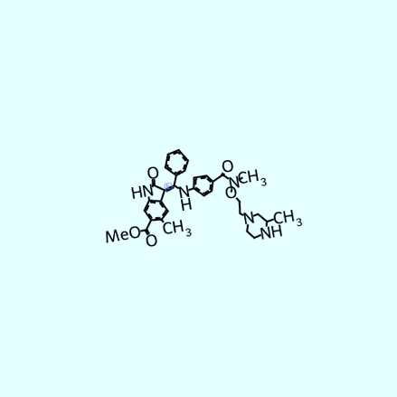 COC(=O)c1cc2c(cc1C)/C(=C(\Nc1ccc(C(=O)N(C)OCCN3CCNC(C)C3)cc1)c1ccccc1)C(=O)N2